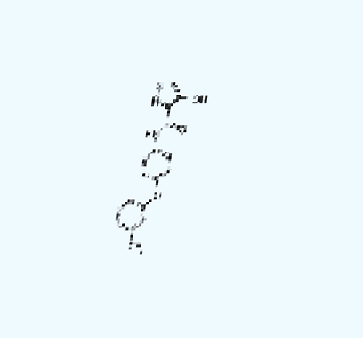 O=C(Nc1ccc(Oc2cccc(C(F)(F)F)c2)cc1)c1nscc1O